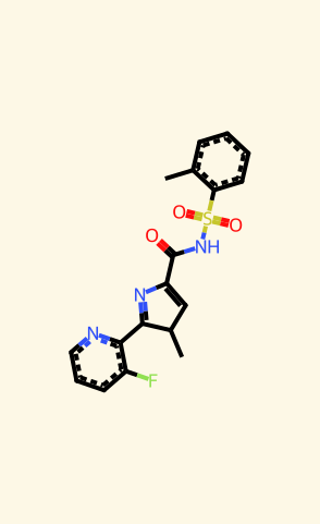 Cc1ccccc1S(=O)(=O)NC(=O)C1=CC(C)C(c2ncccc2F)=N1